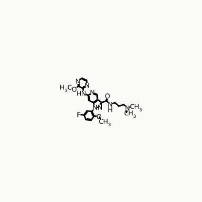 COc1ccc(F)cc1-n1nc(C(=O)NCCCN(C)C)c2cnc(Nc3nccnc3OC)cc21